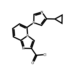 O=C(Cl)c1cn2c(-n3cnc(C4CC4)c3)cccc2n1